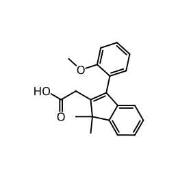 COc1ccccc1C1=C(CC(=O)O)C(C)(C)c2ccccc21